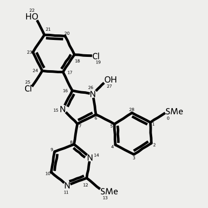 CSc1cccc(-c2c(-c3ccnc(SC)n3)nc(-c3c(Cl)cc(O)cc3Cl)n2O)c1